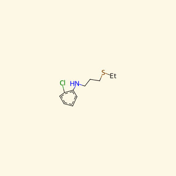 CCSCCCNc1ccccc1Cl